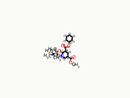 COC(=O)c1cnc(O[Si](C)(C)C(C)(C)C)c(C(=O)Oc2ccccc2)c1